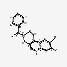 Cc1cc2ncc3c(c2cc1C)CCN(C(=O)c1ccccc1)C3